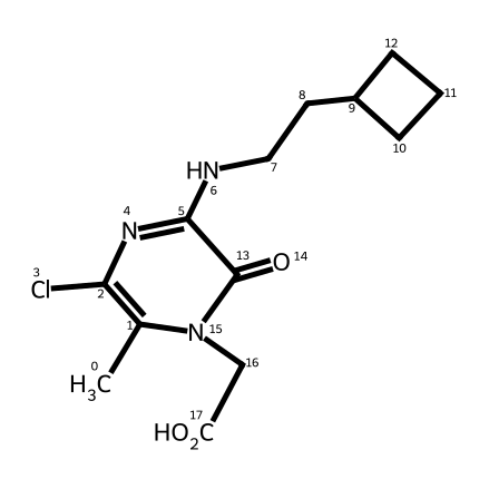 Cc1c(Cl)nc(NCCC2CCC2)c(=O)n1CC(=O)O